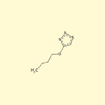 CCCCOc1csnn1